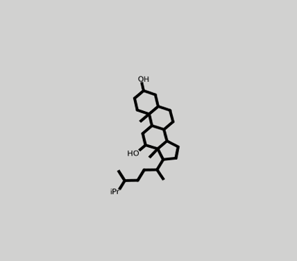 CC(C)C(C)CCC(C)C1CCC2C3CCC4CC(O)CCC4(C)C3CC(O)C12C